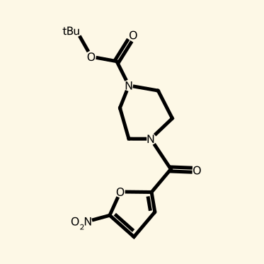 CC(C)(C)OC(=O)N1CCN(C(=O)c2ccc([N+](=O)[O-])o2)CC1